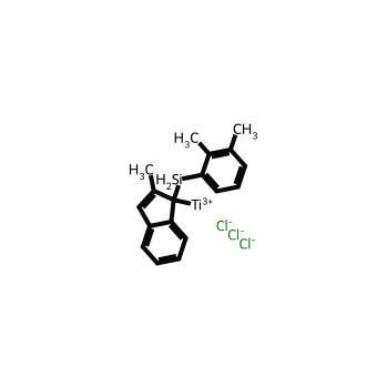 CC1=Cc2ccccc2[C]1([Ti+3])[SiH2]c1cccc(C)c1C.[Cl-].[Cl-].[Cl-]